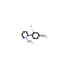 C[n+]1ccccc1-c1ccc([N+](=O)[O-])cc1F.[I-]